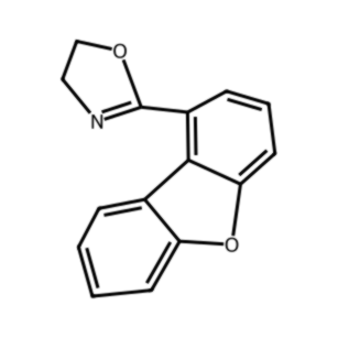 c1ccc2c(c1)oc1cccc(C3=NCCO3)c12